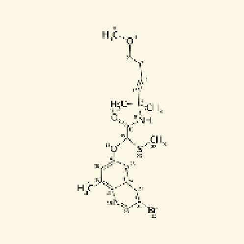 COCCC#CC(C)(C)NC(=O)C(Oc1cc(C)c2ncc(Br)cc2c1)SC